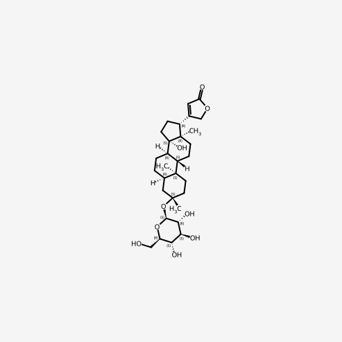 C[C@]1(O[C@@H]2O[C@H](CO)[C@@H](O)[C@H](O)[C@H]2O)CC[C@@]2(C)[C@H](CC[C@@H]3[C@@H]2CC[C@]2(C)[C@@H](C4=CC(=O)OC4)CC[C@]32O)C1